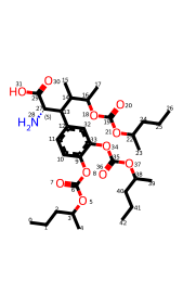 CCCC(C)OC(=O)Oc1ccc(C(C(C)C(C)OC(=O)OC(C)CCC)[C@H](N)C(=O)O)cc1OC(=O)OC(C)CCC